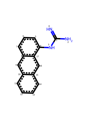 N=C(N)Nc1cccc2cc3ccccc3cc12